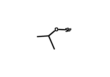 CC(C)[O][Sb]